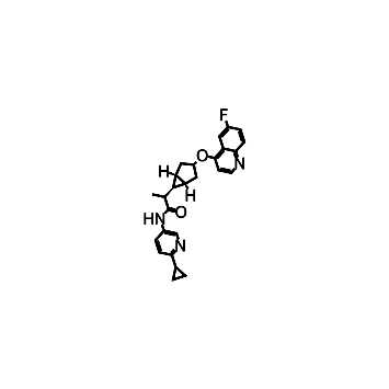 CC(C(=O)Nc1ccc(C2CC2)nc1)[C@H]1[C@@H]2C[C@@H](Oc3ccnc4ccc(F)cc34)C[C@@H]21